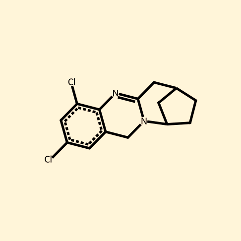 Clc1cc(Cl)c2c(c1)CN1C(=N2)CC2CCC1C2